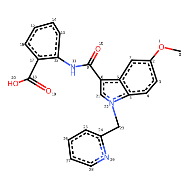 COc1ccc2c(c1)c(C(=O)Nc1ccccc1C(=O)O)cn2Cc1ccccn1